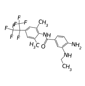 CCNc1cc(C(=O)Nc2c(C)cc(C(F)(C(F)(F)F)C(F)(F)F)cc2C)ccc1N